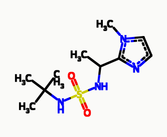 CC(NS(=O)(=O)NC(C)(C)C)c1nccn1C